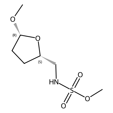 CO[C@H]1CC[C@@H](CNS(=O)(=O)OC)O1